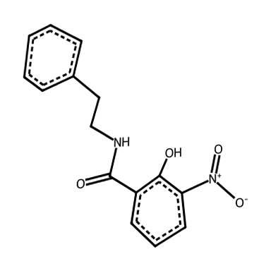 O=C(NCCc1ccccc1)c1cccc([N+](=O)[O-])c1O